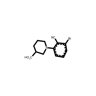 N#Cc1c(Br)cccc1N1CCCC(C(=O)O)C1